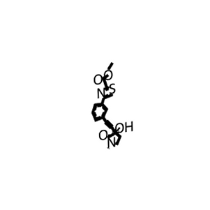 CCOC(=O)c1nc(-c2cccc(C#C[C@]3(O)CCN(C)C3=O)c2)cs1